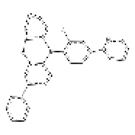 c1ccc(-c2ccc3c(c2)Oc2cccc4c2B3c2ccc(-c3ccccn3)cc2O4)cc1